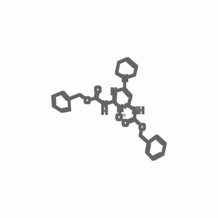 O=C(Nc1cc(N2CC=CCC2)nc(NC(=O)OCc2ccccc2)[n+]1[O-])OCc1ccccc1